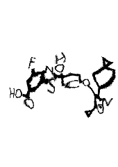 O=C(O)c1cc(F)c2nc(C3(O)CCC(OCc4c(C5CCC6(CC5)CC6)noc4C4CC4)CC3)sc2c1